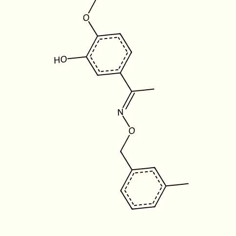 COc1ccc(/C(C)=N/OCc2cccc(C)c2)cc1O